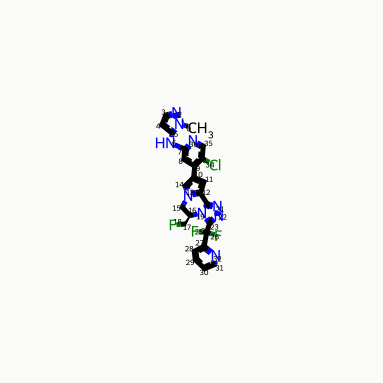 Cn1nccc1Nc1cc(-c2cc3n(c2)C[C@H](CF)n2c-3nnc2C(F)(F)c2ccccn2)c(Cl)cn1